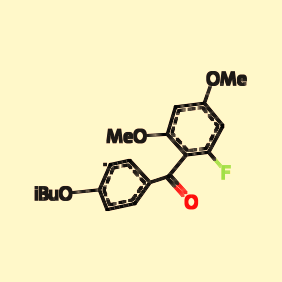 COc1cc(F)c(C(=O)c2c[c]c(OCC(C)C)cc2)c(OC)c1